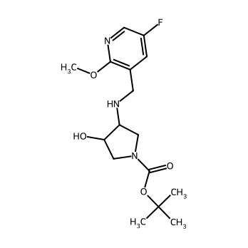 COc1ncc(F)cc1CNC1CN(C(=O)OC(C)(C)C)CC1O